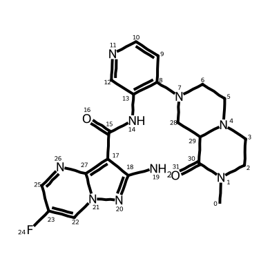 CN1CCN2CCN(c3ccncc3NC(=O)c3c(N)nn4cc(F)cnc34)CC2C1=O